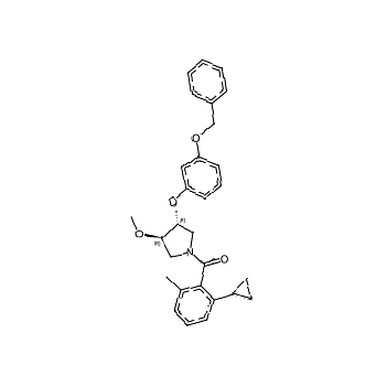 CO[C@@H]1CN(C(=O)c2c(C)cccc2C2CC2)C[C@H]1Oc1cccc(OCc2ccccc2)c1